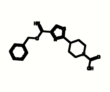 N=C(OCc1ccccc1)c1csc(C2CCN(C(=O)O)CC2)n1